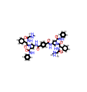 CN[C@@H](C)C(=O)N[C@H](C(=O)N1C[C@@H](NC(=O)c2ccc(C(=O)N[C@H]3C[C@@H](C(=O)Nc4ccccc4)N(C(=O)[C@@H](NC(=O)[C@H](C)NC)C4CCCCC4)C3)cc2)C[C@H]1C(=O)Nc1ccccc1)C1CCCCC1